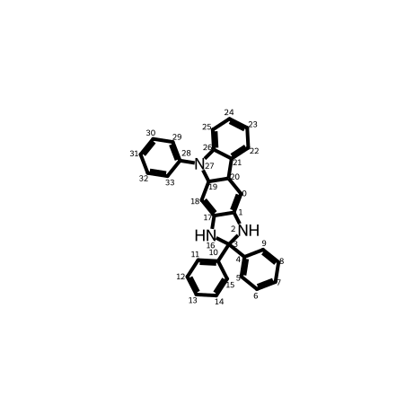 C1=C2NC(c3ccccc3)(c3ccccc3)NC2=CC2C1c1ccccc1N2c1ccccc1